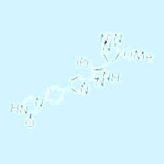 COc1cc(-c2[nH]nc(-c3ccc(C4CCC(N5CCNC(=O)C5)CC4)cn3)c2C(C)C)cn2ncnc12